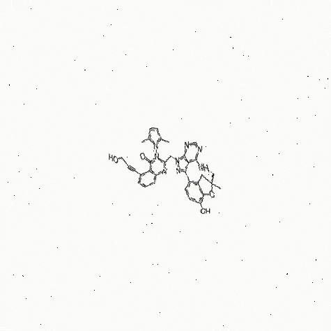 Cc1ccc(C)n1-n1c(Cn2nc(-c3ccc(O)c4c3CC(C)(C)O4)c3c(N)ncnc32)nc2cccc(C#CCO)c2c1=O